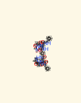 BN(C)[C@@H](C)C(=O)N[C@H](C(=O)N1C[C@@H](NC(=O)c2ccc(C(=O)N[C@H]3C[C@@H](C(=O)NCCc4ccccc4)N(C(=O)[C@@H](NC(=O)[C@H](C)N(C)C)C(C)(C)C)C3)cc2)CC1C(=O)NCCc1ccccc1)C(C)(C)C